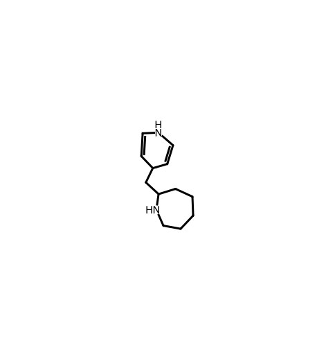 C1=C[C](CC2CCCCCN2)C=CN1